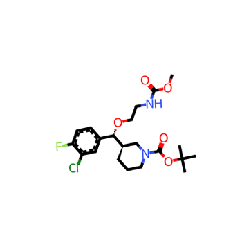 COC(=O)NCCO[C@@H](c1ccc(F)c(Cl)c1)[C@@H]1CCCN(C(=O)OC(C)(C)C)C1